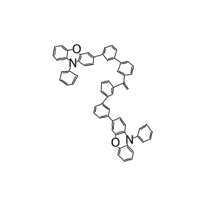 C=C(c1cccc(-c2cccc(-c3ccc4c(c3)Oc3ccccc3N4c3ccccc3)c2)c1)c1cccc(-c2cccc(-c3ccc4c(c3)Oc3ccccc3N4c3ccccc3)c2)c1